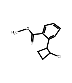 COC(=O)c1ccccc1C1CCC1Cl